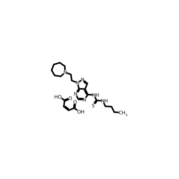 CCCCNC(=S)Nc1ncnc2c1cnn2CCN1CCCCCC1.O=C(O)/C=C\C(=O)O